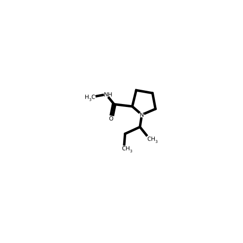 CCC(C)N1CCCC1C(=O)NC